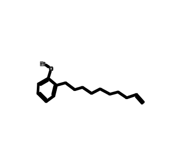 C=CCCCCCCCCc1ccccc1OCC